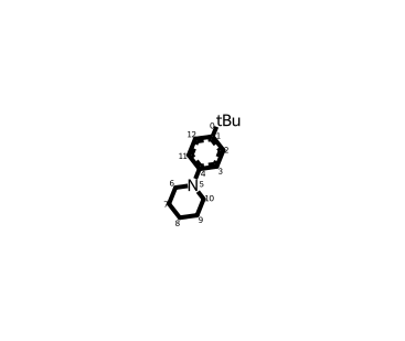 CC(C)(C)c1ccc(N2CCCCC2)cc1